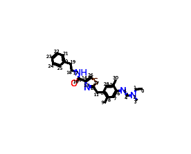 CCN(C)C=Nc1cc(C)c(Cc2nc(C(=O)NCCc3ccccc3)cs2)cc1C